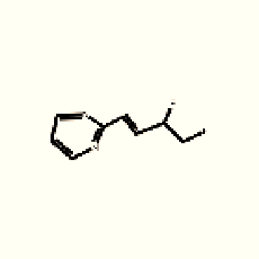 FCC(F)C=Cc1ncccn1